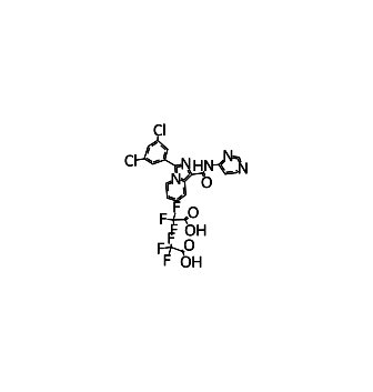 O=C(Nc1ccncn1)c1nc(-c2cc(Cl)cc(Cl)c2)n2ccccc12.O=C(O)C(F)(F)F.O=C(O)C(F)(F)F